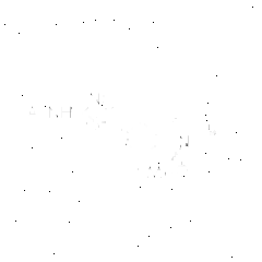 CSc1cc(-c2sc(NC(C)=O)nc2C)cc2c1C(=O)N(C(C)C(F)(F)F)C2